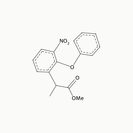 COC(=O)C(C)c1cccc([N+](=O)[O-])c1Oc1ccccc1